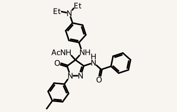 CCN(CC)c1ccc(NC2(NC(C)=O)C(=O)N(c3ccc(C)cc3)N=C2NC(=O)c2ccccc2)cc1